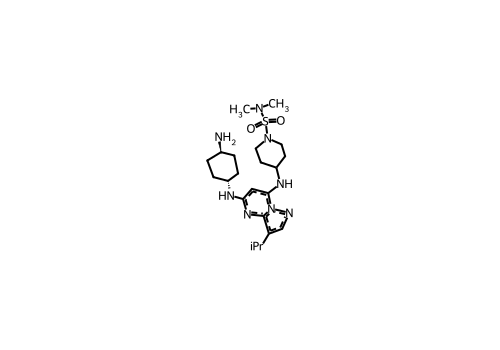 CC(C)c1cnn2c(NC3CCN(S(=O)(=O)N(C)C)CC3)cc(N[C@H]3CC[C@H](N)CC3)nc12